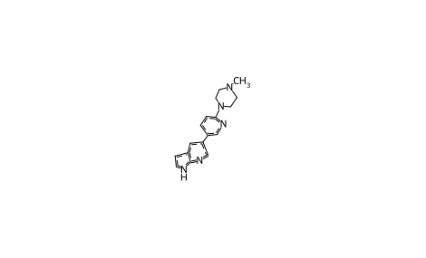 CN1CCN(c2ccc(-c3cnc4[nH]ccc4c3)cn2)CC1